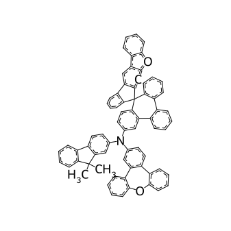 CC1(C)c2ccccc2-c2ccc(N(c3ccc4c(c3)-c3ccccc3Oc3ccccc3-4)c3ccc4c(c3)-c3ccccc3-c3ccccc3C43c4ccccc4-c4cc5c(cc43)oc3ccccc35)cc21